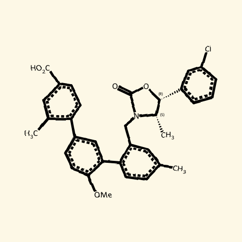 COc1ccc(-c2ccc(C(=O)O)cc2C)cc1-c1ccc(C)cc1CN1C(=O)O[C@H](c2cccc(Cl)c2)[C@@H]1C